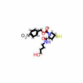 O=C(NCCCCO)[C@@H]1C[C@H](S)CN1C(=O)OCc1ccc([N+](=O)[O-])cc1